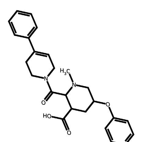 CN1CC(Oc2ccncc2)CC(C(=O)O)C1C(=O)N1CC=C(c2ccccc2)CC1